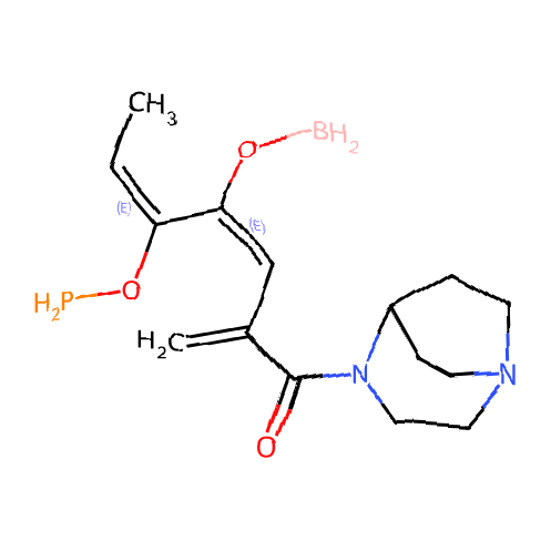 BOC(=C/C(=C)C(=O)N1CCN2CCC1CC2)/C(=C\C)OP